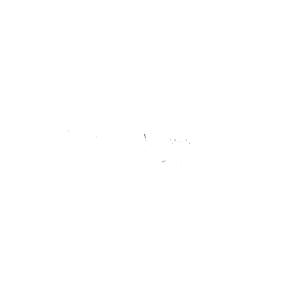 CO[C@]1(c2nc(-c3ccccc3)c(-c3ccccc3)o2)CCCC[C@H]1Cc1cccc(OOC(C)=O)c1